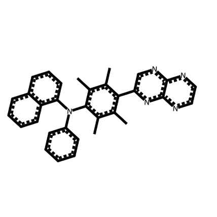 Cc1c(C)c(N(c2ccccc2)c2cccc3ccccc23)c(C)c(C)c1-c1cnc2nccnc2n1